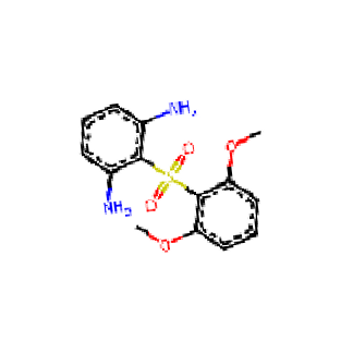 COc1cccc(OC)c1S(=O)(=O)c1c(N)cccc1N